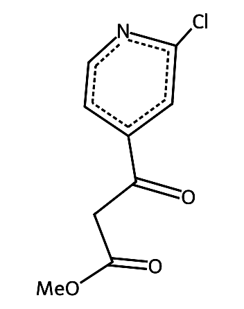 COC(=O)CC(=O)c1ccnc(Cl)c1